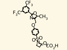 Cc1oc(-c2cc(C(F)(F)F)cc(C(F)(F)F)c2)nc1COc1ccc(S(=O)(=O)N2CC[C@H]2OC(=O)O)cc1